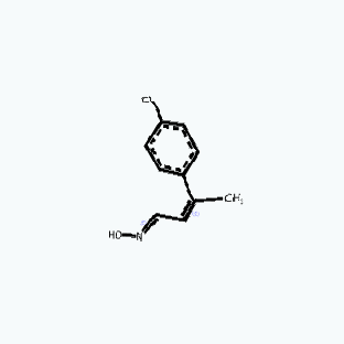 C/C(=C/C=N/O)c1ccc(Cl)cc1